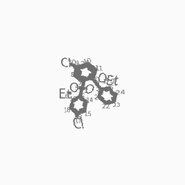 CCOC(OC(OCC)(c1ccccc1)c1ccc(Cl)cc1)(c1ccccc1)c1ccc(Cl)cc1